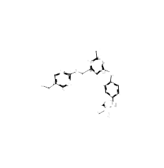 CCc1cnc(NCc2cc(Oc3ccc(NS(C)(=O)=O)cc3)nc(C)n2)nc1